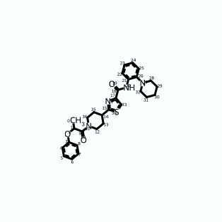 CC(Oc1ccccc1)C(=O)N1CCC(c2nc(C(=O)Nc3ccccc3N3CCCCC3)cs2)CC1